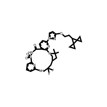 CC1(C)CC2CN1c1nc(-n3ccc(OCCC4C5(CC5)C45CC5)n3)ccc1C(=O)NS(=O)(=O)c1cccc(n1)NCC(F)(F)C2